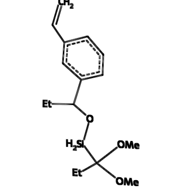 C=Cc1cccc(C(CC)O[SiH2]C(CC)(OC)OC)c1